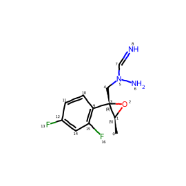 C[C@@H]1O[C@@]1(CN(N)C=N)c1ccc(F)cc1F